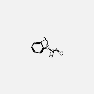 O=[C]NN1COc2ccccc21